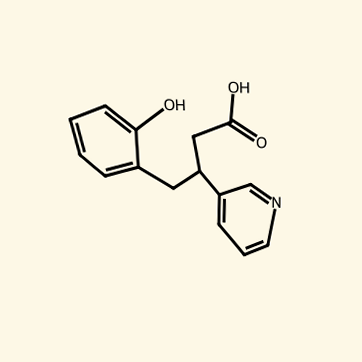 O=C(O)CC(Cc1ccccc1O)c1cccnc1